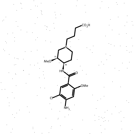 COc1cc(N)c(Cl)cc1C(=O)N[C@@H]1CCN(CCCC(=O)O)C[C@@H]1OC